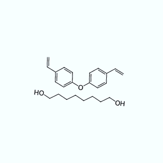 C=Cc1ccc(Oc2ccc(C=C)cc2)cc1.OCCCCCCCCO